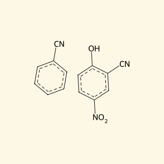 N#Cc1cc([N+](=O)[O-])ccc1O.N#Cc1ccccc1